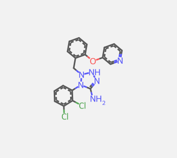 NC1=NNN(Cc2ccccc2Oc2cccnc2)N1c1cccc(Cl)c1Cl